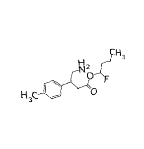 CCCC(F)OC(=O)CC(CN)c1ccc(C)cc1